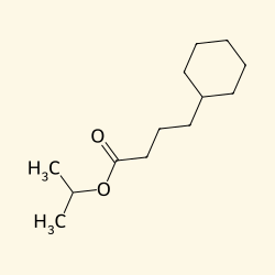 CC(C)OC(=O)CCCC1CCCCC1